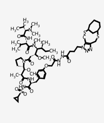 CC[C@H](C)[C@@H]([C@@H](CC(=O)N1CCC[C@H]1[C@H](OC)[C@@H](C)C(=O)N[C@@H](Cc1ccc(OCC(=O)NNC(=O)CCCn2nnc3c2CSC2CCCCC(C2)SC3)cc1)C(=O)NS(=O)(=O)C1CC1)OC)N(C)C(=O)[C@@H](NC(=O)[C@H](C(C)C)N(C)C)C(C)C